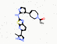 Cc1[nH]ncc1-c1ccc2nc(Nc3cc(C4=CCCN(C(=O)C(C)(C)C)CC4)ccn3)sc2n1